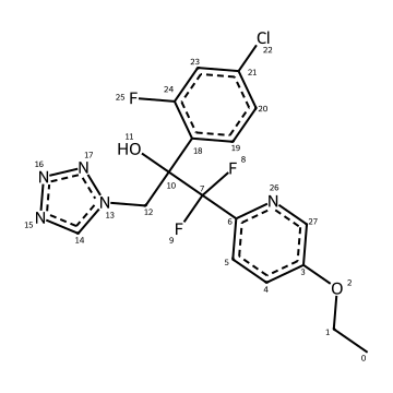 CCOc1ccc(C(F)(F)C(O)(Cn2cnnn2)c2ccc(Cl)cc2F)nc1